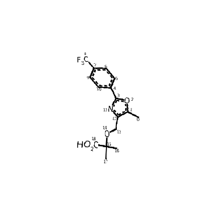 Cc1oc(-c2ccc(C(F)(F)F)cc2)nc1COC(C)(C)C(=O)O